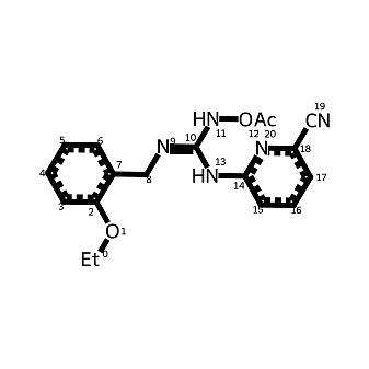 CCOc1ccccc1CN=C(NOC(C)=O)Nc1cccc(C#N)n1